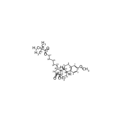 COc1ccc2c(c1)CC[C@H]1[C@@H]3[C@H](CCCCCOC(=O)C(C)(C)C)CC(=O)[C@@]3(C)CC[C@H]21